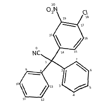 N#CC(c1ccccc1)(c1ccccc1)c1ccc(Cl)c([N+](=O)[O-])c1